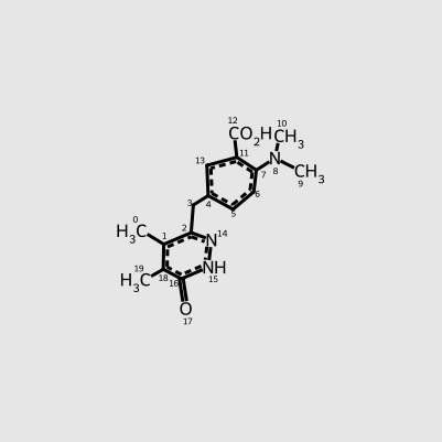 Cc1c(Cc2ccc(N(C)C)c(C(=O)O)c2)n[nH]c(=O)c1C